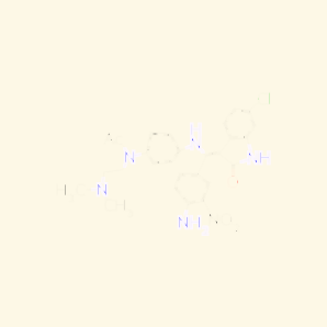 CC(=O)N(CCN(C)C)c1ccc(NC(=C2C(=O)Nc3cc(Cl)ccc32)c2ccc(N)c([N+](=O)[O-])c2)cc1